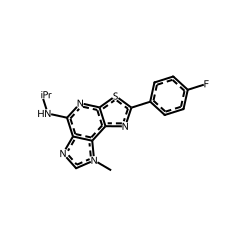 CC(C)Nc1nc2sc(-c3ccc(F)cc3)nc2c2c1ncn2C